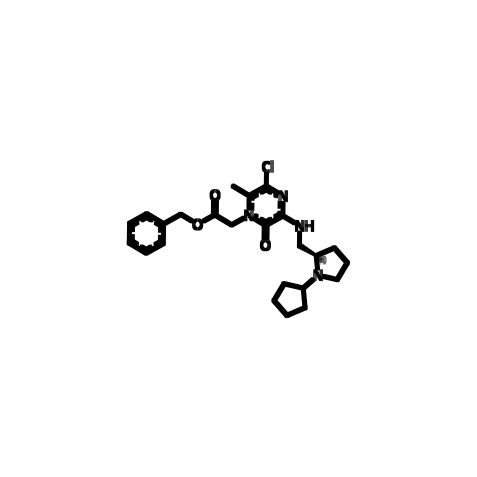 Cc1c(Cl)nc(NC[C@H]2CCCN2C2CCCC2)c(=O)n1CC(=O)OCc1ccccc1